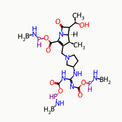 BNPOC(=O)/N=C(/NC(=O)OPNB)N[C@@H]1CCN(CC2=C(C(=O)OPNB)N3C(=O)C([C@@H](C)O)[C@H]3[C@H]2C)C1